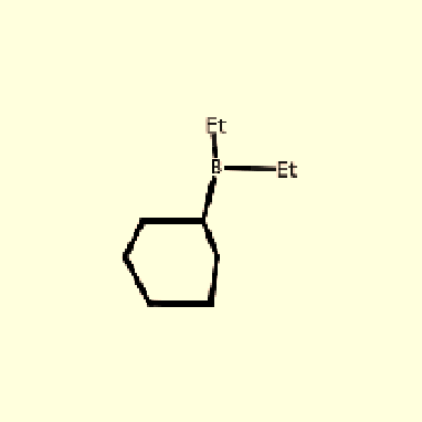 CCB(CC)C1CCCCC1